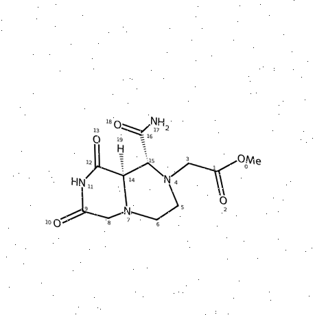 COC(=O)CN1CCN2CC(=O)NC(=O)[C@H]2[C@@H]1C(N)=O